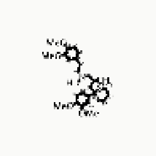 COc1ccc(CCN(C)CC(C)CC2(c3ccc(OC)c(OC)c3)SCCCS2)cc1OC